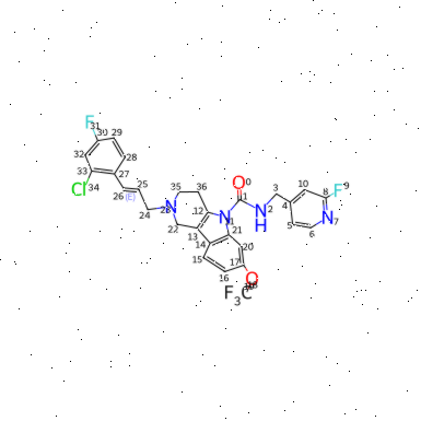 O=C(NCc1ccnc(F)c1)n1c2c(c3ccc(OC(F)(F)F)cc31)CN(C/C=C/c1ccc(F)cc1Cl)CC2